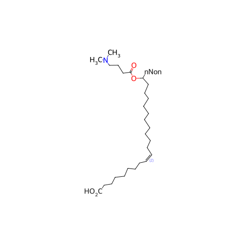 CCCCCCCCCC(CCCCCCCCCC/C=C\CCCCCCCC(=O)O)OC(=O)CCCN(C)C